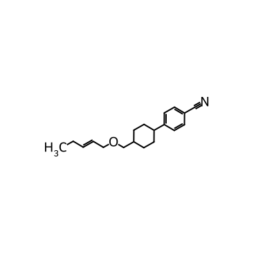 CC/C=C/COCC1CCC(c2ccc(C#N)cc2)CC1